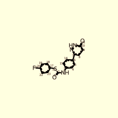 O=C(Nc1ccc(-c2ccc(=O)[nH]n2)cc1)Sc1ccc(F)cc1